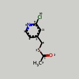 CC(=O)SCc1ccnc(Cl)c1